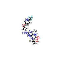 COC1([C@H]2C(=O)N3CCCc4nc(N[C@H]5C[C@@H](Oc6ccc(C(F)(F)F)nc6)C5)nc(c43)N2C)CCC1